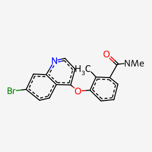 CNC(=O)c1cccc(Oc2ccnc3cc(Br)ccc23)c1C